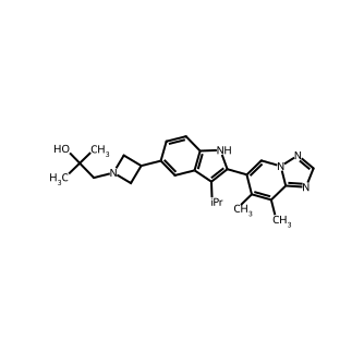 Cc1c(-c2[nH]c3ccc(C4CN(CC(C)(C)O)C4)cc3c2C(C)C)cn2ncnc2c1C